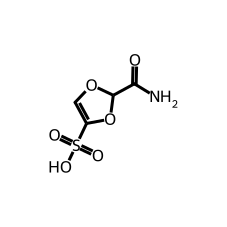 NC(=O)C1OC=C(S(=O)(=O)O)O1